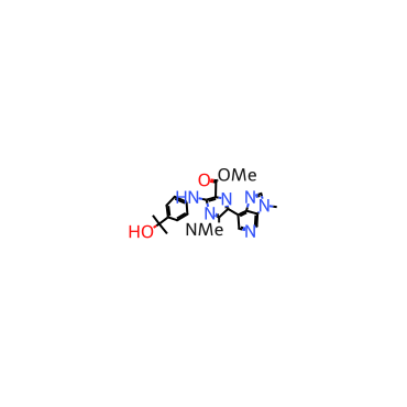 CNc1nc(Nc2ccc(C(C)(C)O)cc2)c(C(=O)OC)nc1-c1cncc2c1ncn2C